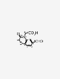 O=Cc1ccc2c(c1)N(CC(=O)O)C(=O)CO2